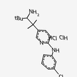 CC(C)(C)C(N)C(C)(C)c1ccc(Nc2cccc(Cl)c2)nc1.Cl.Cl